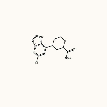 CNC(=O)C1CN(c2cc(Cl)nn3ccnc23)CCO1